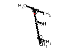 CCCCCCOCC(COCCCCCC)OC(=O)CCCCCCCN(CCCO)CCCCCCCCCCCC(=O)OC(COCC)COCC